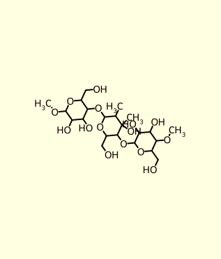 COC1OC(CO)C(OC2OC(CO)C(OC3OC(CO)C(OC)C(O)C3O)C(C)(O)C2C)C(O)C1O